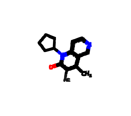 CC(=O)c1c(C)c2cnccc2n(C2CCCC2)c1=O